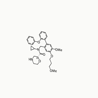 COCCCOc1cc(CN(C(=O)[C@H]2CNCCO2)C2CC2)c(-c2ccccc2Oc2ccccc2)cc1OC